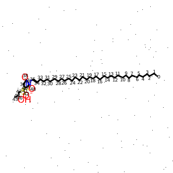 CCCCCCCCCCCCCCCCCCCCCCCCCCCCCCCCCCC=CN1C(=O)CC([S+]([O-])CC(C)O)C1=O